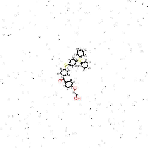 O=C(c1ccc(OCCO)cc1)c1ccc(Sc2ccc([S+](c3ccccc3)c3ccccc3)cc2)cc1